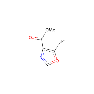 COC(=O)c1ncoc1C(C)C